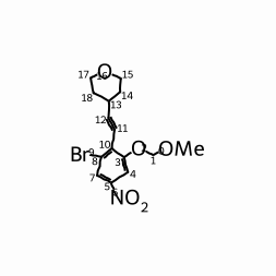 COCOc1cc([N+](=O)[O-])cc(Br)c1C#CC1CCOCC1